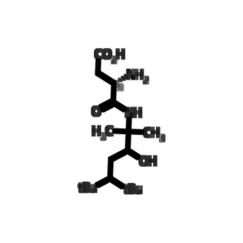 CC(C)(C)C(CC(O)C(C)(C)NC(=O)[C@@H](N)CC(=O)O)C(C)(C)C